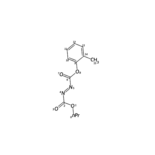 CCCOC(=O)N=NC(=O)Oc1ccccc1C